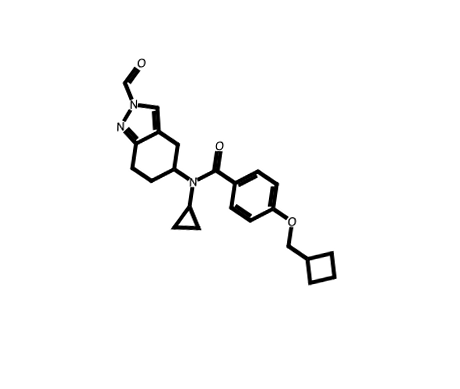 O=Cn1cc2c(n1)CCC(N(C(=O)c1ccc(OCC3CCC3)cc1)C1CC1)C2